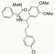 CNC(=O)[C@@H](NC(CCc1ccc(Cl)cc1)c1ccc(OC)c(OC)c1)c1ccccc1